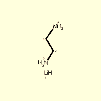 N[CH]CN.[LiH]